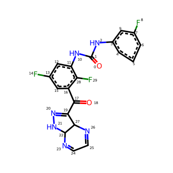 O=C(Nc1cccc(F)c1)Nc1cc(F)cc(C(=O)C2=NNC3N=CC=NC23)c1F